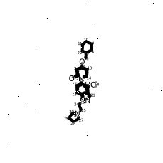 Cl.O=c1cc(OCC2CCCCC2)ccn1-c1ccc2c(cnn2CCN2CCCC2)c1